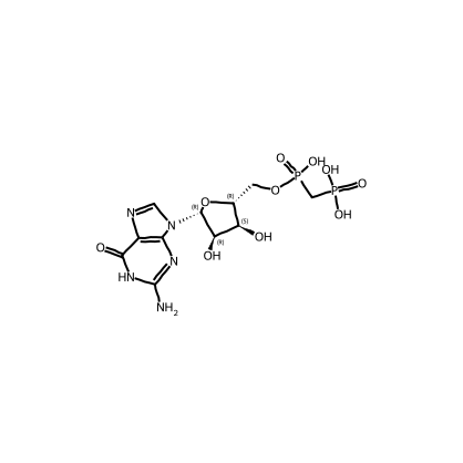 Nc1nc2c(ncn2[C@@H]2O[C@H](COP(=O)(O)CP(=O)(O)O)[C@@H](O)[C@H]2O)c(=O)[nH]1